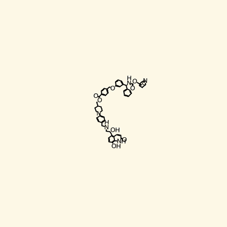 O=C(N[C@@H](c1ccccc1)c1cccc(OCc2ccc(C(=O)OCC3CCN(c4ccc(CNCC(O)c5ccc(O)c6[nH]c(=O)ccc56)cc4)CC3)cc2)c1)OC1CN2CCC1CC2